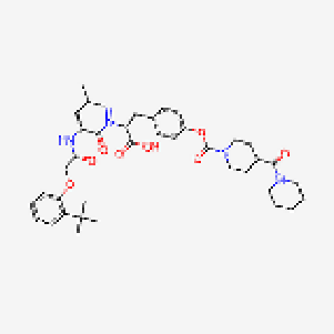 CC(C)C[C@H](NC(=O)COc1ccccc1C(C)(C)C)C(=O)N[C@@H](Cc1ccc(OC(=O)N2CCC(C(=O)N3CCCCC3)CC2)cc1)C(=O)O